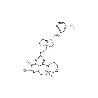 Fc1c(Cl)nc2c3c(nc(OC[C@@]45CCCN4[C@H](COc4cc(C(F)(F)F)cnn4)CC5)nc13)N1CCCOC[C@@H]1CC2